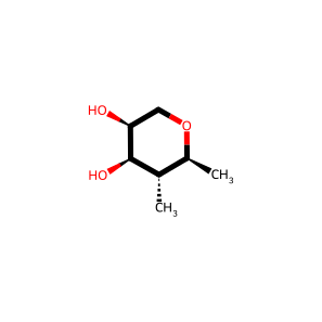 C[C@@H]1[C@@H](O)[C@@H](O)CO[C@H]1C